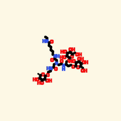 CCNC(=O)CCCCCNC(=O)CN(CC(=O)NCCO[C@@H]1O[C@@H](C)[C@@H](O)[C@@H](O)[C@@H]1O)CC(=O)NC(CCO[C@H]1O[C@H](CO)[C@@H](O)[C@H](O)[C@@H]1O)CO[C@H]1O[C@H](CO)[C@@H](O)[C@H](O)[C@@H]1O